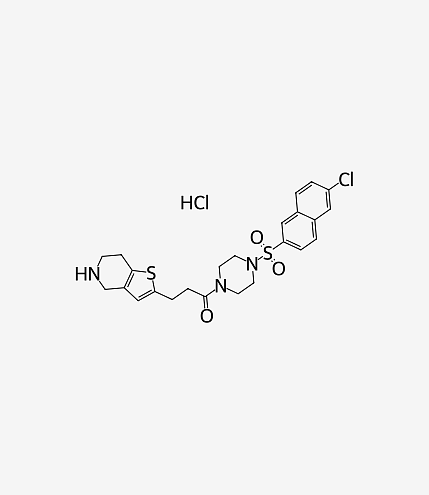 Cl.O=C(CCc1cc2c(s1)CCNC2)N1CCN(S(=O)(=O)c2ccc3cc(Cl)ccc3c2)CC1